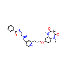 CCN1C(=O)C(C)(C)C(=O)N(C)c2cc(OCCCc3cc(CNCCN(C)C(=O)c4ccccc4)ccn3)ccc21